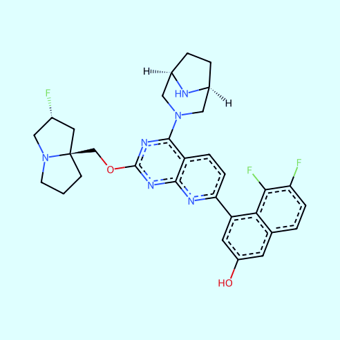 Oc1cc(-c2ccc3c(N4C[C@H]5CC[C@@H](C4)N5)nc(OC[C@@]45CCCN4C[C@H](F)C5)nc3n2)c2c(F)c(F)ccc2c1